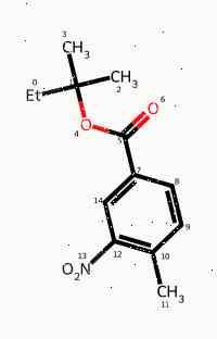 CCC(C)(C)OC(=O)c1ccc(C)c([N+](=O)[O-])c1